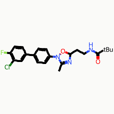 CC1=NC(CCNC(=O)C(C)(C)C)ON1c1ccc(-c2ccc(F)c(Cl)c2)cc1